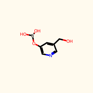 OCc1cncc(OB(O)O)c1